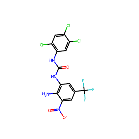 Nc1c(NC(=O)Nc2cc(Cl)c(Cl)cc2Cl)cc(C(F)(F)F)cc1[N+](=O)[O-]